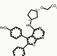 COc1ccc(-c2c(-c3ccccc3)oc3ncnc(N[C@H]4CC[C@H](OCC(=O)O)C4)c23)cc1